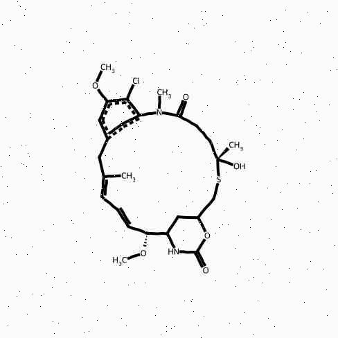 COc1cc2cc(c1Cl)N(C)C(=O)CC[C@](C)(O)SCC1CC(NC(=O)O1)[C@H](OC)/C=C/C=C(\C)C2